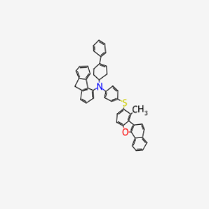 Cc1c(Sc2ccc(N(c3cccc4c3-c3ccccc3C4)C3CC=C(c4ccccc4)CC3)cc2)ccc2oc3c4ccccc4ccc3c12